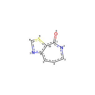 O=c1ncccc2ncsc12